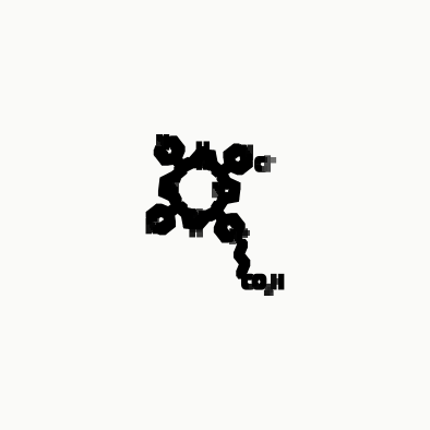 O=C(O)CCCC[n+]1ccc(-c2c3nc(c(-c4ccncc4)c4ccc([nH]4)c(-c4ccncc4)c4nc(c(-c5ccncc5)c5ccc2[nH]5)C=C4)C=C3)cc1.[Cl-]